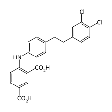 O=C(O)c1ccc(Nc2ccc(CCc3ccc(Cl)c(Cl)c3)cc2)c(C(=O)O)c1